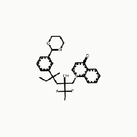 CCC(C)(CC(O)(Cn1ccc(=O)c2ccccc21)C(F)(F)F)c1cccc(C2OCCCO2)c1